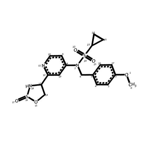 COc1ccc(CN(c2ccnc(C3COS(=O)N3)c2)S(=O)(=O)C2CC2)cc1